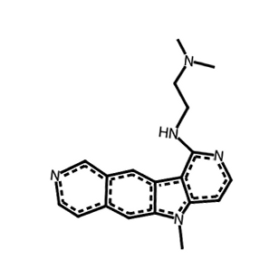 CN(C)CCNc1nccc2c1c1cc3cnccc3cc1n2C